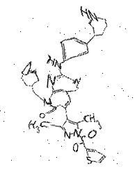 Cc1nn(S(=O)(=O)c2cccs2)c(C)c1-c1cc2cnc(Nc3ccc(C4CCCNC4)cc3)nc2n(CC2CCOCC2)c1=O